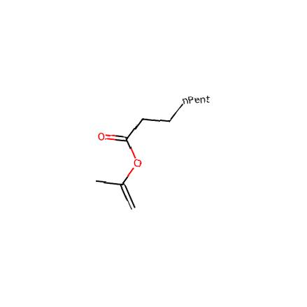 C=C(C)OC(=O)CCCCCCC